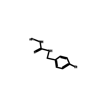 CCCNC(=S)NCc1ccc(CC)cc1